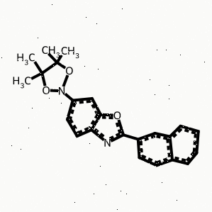 CC1(C)ON(c2ccc3nc(-c4ccc5ccccc5c4)oc3c2)OC1(C)C